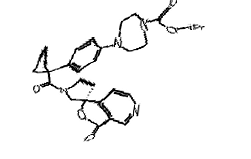 CC(C)OC(=O)N1CCN(c2ccc(C3(C(=O)N4CC[C@@]5(C4)OC(=O)c4cnccc45)CC3)cc2)CC1